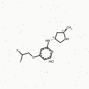 C[C@@H]1C[C@@H](Nc2cc(OCC(F)F)ccn2)CN1.Cl